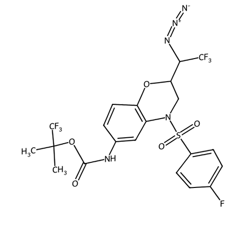 CC(C)(OC(=O)Nc1ccc2c(c1)N(S(=O)(=O)c1ccc(F)cc1)CC(C(N=[N+]=[N-])C(F)(F)F)O2)C(F)(F)F